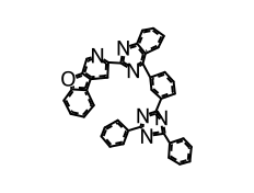 c1ccc(-c2nc(-c3ccccc3)nc(-c3cccc(-c4nc(-c5cc6c(cn5)oc5ccccc56)nc5ccccc45)c3)n2)cc1